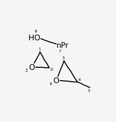 C1CO1.CC1CO1.[CH2]CCO